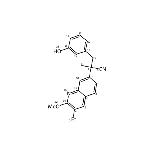 CCc1cc2ccc(C(C)(C#N)Cc3cccc(O)c3)cc2nc1OC